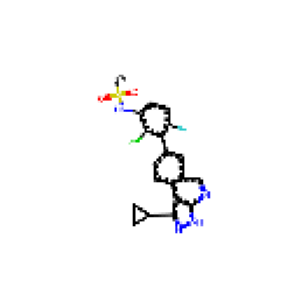 CCCS(=O)(=O)Nc1ccc(F)c(-c2ccc3c(cnc4[nH]nc(C5CC5)c43)c2)c1Cl